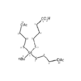 CCC[CH2][Sn]([S]CCCC(=O)O)([S]CCOC(C)=O)[S]CCOC(C)=O